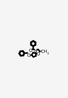 C[C@H]1CN(C(=O)c2ccccc2)C2(CC[C@@H](OCc3ccccc3)C2)O1